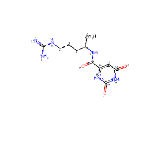 N=C(N)NCCCC(NC(=O)c1cc(=O)[nH]c(=O)[nH]1)C(=O)O